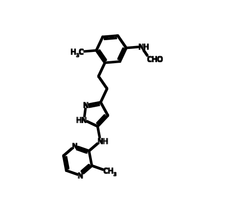 Cc1ccc(NC=O)cc1CCc1cc(Nc2nccnc2C)[nH]n1